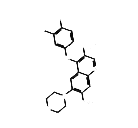 CCOC(=O)c1cnc2cc(OC)c(N3CCOCC3)cc2c1Nc1ccc(Cl)c(Cl)c1